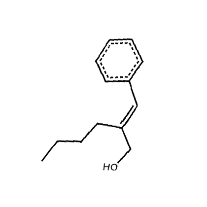 CCCC/C(=C\c1ccccc1)CO